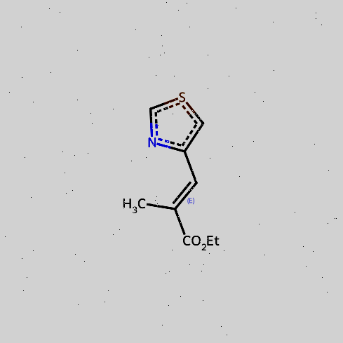 CCOC(=O)/C(C)=C/c1cscn1